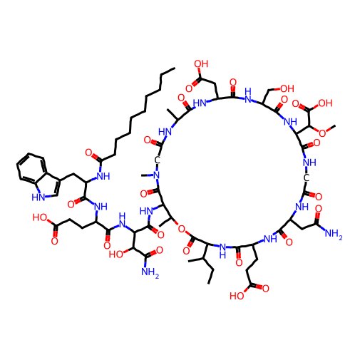 CCCCCCCCCC(=O)NC(Cc1c[nH]c2ccccc12)C(=O)NC(CCC(=O)O)C(=O)NC(C(=O)NC1C(=O)N(C)CC(=O)NC(C)C(=O)NC(CC(=O)O)C(=O)NC(CO)C(=O)NC(C(OC)C(=O)O)C(=O)NCC(=O)NC(CC(N)=O)C(=O)NC(CCC(=O)O)C(=O)NC(C(C)CC)C(=O)OC1C)C(O)C(N)=O